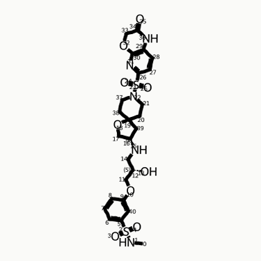 CNS(=O)(=O)c1cccc(OC[C@@H](O)CN[C@H]2COC3(CCN(S(=O)(=O)c4ccc5c(n4)OCC(=O)N5)CC3)C2)c1